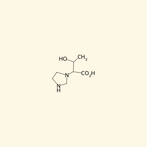 CC(O)C(C(=O)O)N1CCNC1